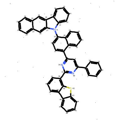 c1ccc(-c2cc(-c3ccc(-n4c5ccccc5c5cc6ccccc6cc54)c4ccccc34)nc(-c3cccc4c3sc3ccccc34)n2)cc1